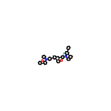 Fc1cc(-c2ccccc2)cc(-c2ccccc2)c1N(c1ccccc1)c1ccc2c(c1)Oc1cccc3c1c-2cc1ccc(-c2ccc(N(c4ccccc4)c4cccc5c4oc4ccccc45)cc2)cc13